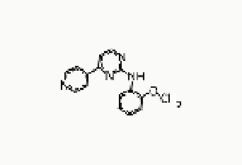 COc1ccccc1Nc1nccc(-c2ccncc2)n1